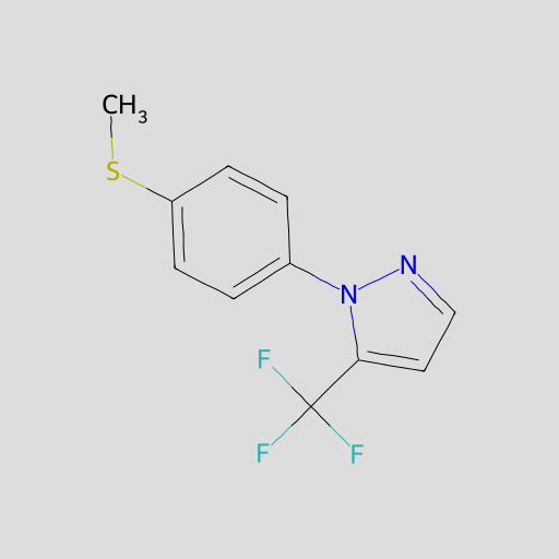 CSc1ccc(-n2nccc2C(F)(F)F)cc1